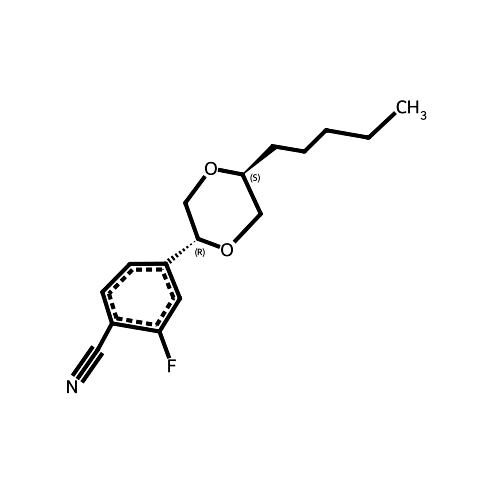 CCCCC[C@H]1CO[C@H](c2ccc(C#N)c(F)c2)CO1